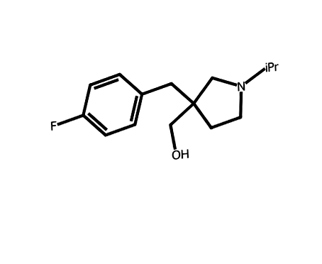 CC(C)N1CCC(CO)(Cc2ccc(F)cc2)C1